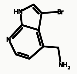 NCc1ccnc2[nH]cc(Br)c12